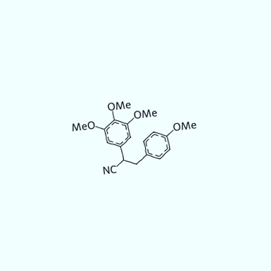 COc1ccc(CC(C#N)c2cc(OC)c(OC)c(OC)c2)cc1